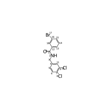 O=C(NCc1ccc(Cl)c(Cl)c1)c1cccc(Br)c1